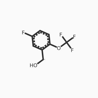 O[CH]c1cc(F)ccc1OC(F)(F)F